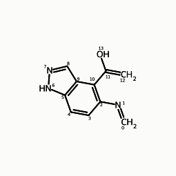 C=Nc1ccc2[nH]ncc2c1C(=C)O